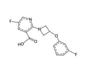 O=C(O)c1cc(F)cnc1N1CC(Oc2cccc(F)c2)C1